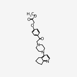 COC(=O)COc1ccc(C(=O)CN2CCN(c3ccnc4c3CCCC4)CC2)cc1